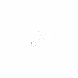 O=C(O)c1nn(Cc2ccc(Cl)cc2Cl)c2cc3c(cc12)OCO3